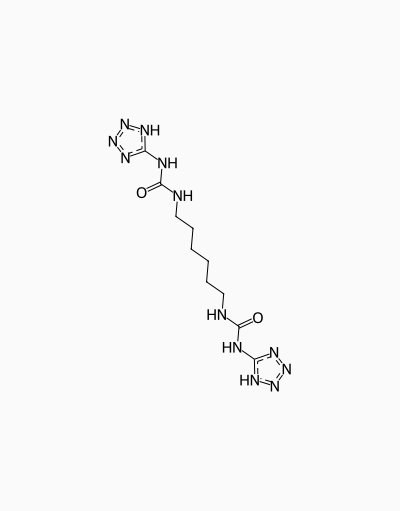 O=C(NCCCCCCNC(=O)Nc1nnn[nH]1)Nc1nnn[nH]1